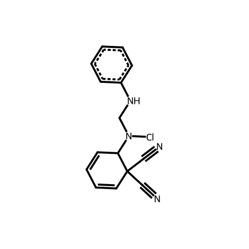 N#CC1(C#N)C=CC=CC1N(Cl)CNc1ccccc1